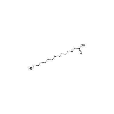 O=C(O)CCCCCCCCCCCCCS